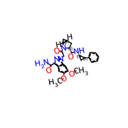 COc1cc2c(C(N)=O)nn(CC(=O)N3[C@@H]4C[C@@H]4C[C@H]3C(=O)N[C@H]3C[C@@H]3c3ccccc3)c2cc1OC